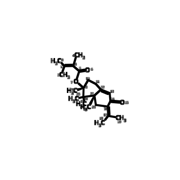 CC(C)=C(C)C(=O)O[C@]1(C)CCC2=CC(=O)C(=C(C)C)C[C@]2(C)C1(C)C